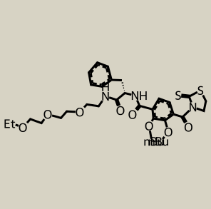 CCCCOc1c(C(=O)N[C@@H](Cc2ccccc2)C(=O)NCCOCCOCCOCC)ccc(C(=O)N2CCSC2=S)c1OCCCC